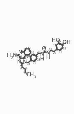 CCCCC1=NC2C(N)=Nc3ccccc3C2N1Cc1ccc(CNC(=O)NCCc2ccc(O)c(O)c2)cc1